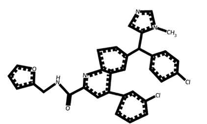 Cn1cncc1C(c1ccc(Cl)cc1)c1ccc2nc(C(=O)NCc3ccco3)cc(-c3cccc(Cl)c3)c2c1